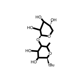 CC1O[C@@H](C(C)(C)C)C(O)C(O)C1O[C@@H]1OC[C@@H](O)C(O)C1O